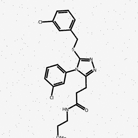 COCCNC(=O)CCc1nnc(SCc2cccc(Cl)c2)n1-c1cccc(Cl)c1